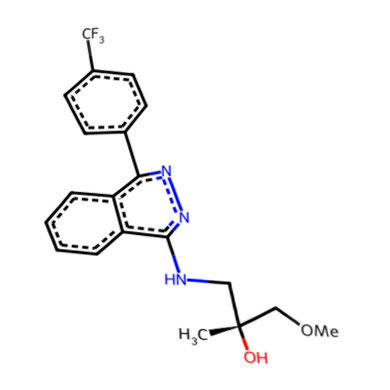 COC[C@](C)(O)CNc1nnc(-c2ccc(C(F)(F)F)cc2)c2ccccc12